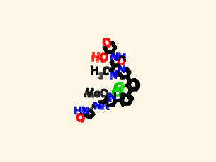 COc1nc(-c2cccc(-c3cccc(-c4ccn5c(=O)c(CN[C@@H]6CCOC[C@@H]6O)c(C)nc5c4)c3Cl)c2Cl)ccc1CNC[C@@H]1CCC(=O)N1